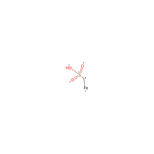 O=S(=O)(O)[CH2][Fe]